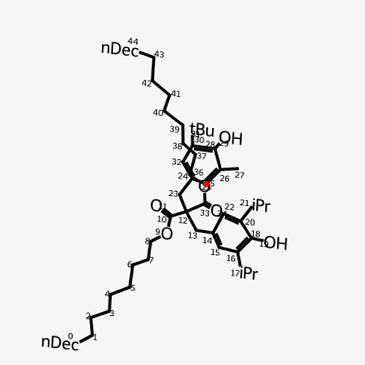 CCCCCCCCCCCCCCCCCCOC(=O)C(Cc1cc(C(C)C)c(O)c(C(C)C)c1)(Cc1cc(C)c(O)c(C(C)(C)C)c1)C(=O)OCCCCCCCCCCCCCCCCCC